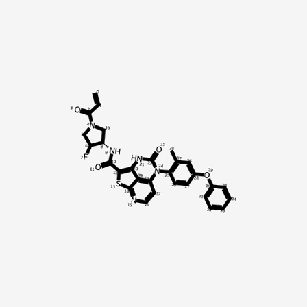 C=CC(=O)N1CC(F)[C@@H](NC(=O)c2sc3nccc4c3c2NC(=O)N4c2ccc(Oc3ccccc3)cc2C)C1